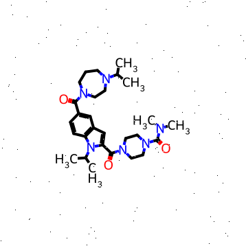 CC(C)N1CCCN(C(=O)c2ccc3c(c2)cc(C(=O)N2CCN(C(=O)N(C)C)CC2)n3C(C)C)CC1